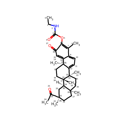 CCNC(=O)OC1=C(C)C2=CC=C3[C@@](C)(CC[C@@]4(C)[C@@H]5C[C@](C)(C(C)=O)CC[C@]5(C)CC[C@]34C)C2=CC1=O